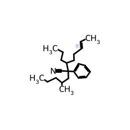 C/C=C/CCC(CCC)C(C#N)(CC(C)CCC)c1ccccc1